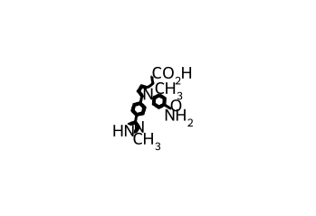 Cc1nc(-c2ccc(-c3ccc(CCC(=O)O)n3-c3ccc(C(N)=O)cc3C)cc2)c[nH]1